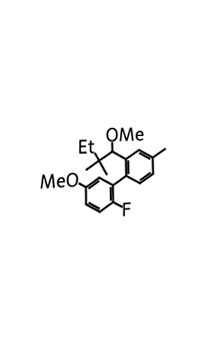 CCC(C)(C)C(OC)c1cc(C)ccc1-c1cc(OC)ccc1F